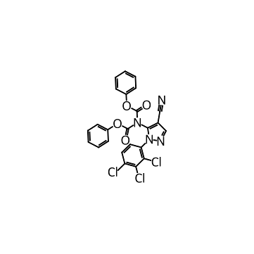 N#Cc1cnn(-c2ccc(Cl)c(Cl)c2Cl)c1N(C(=O)Oc1ccccc1)C(=O)Oc1ccccc1